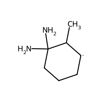 CC1[CH]CCCC1(N)N